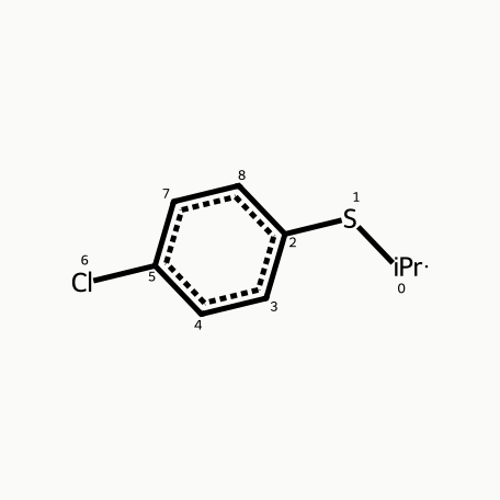 C[C](C)Sc1ccc(Cl)cc1